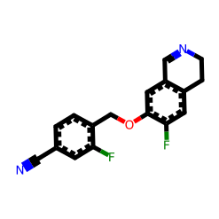 N#Cc1ccc(COc2cc3c(cc2F)CCN=C3)c(F)c1